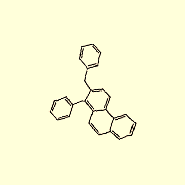 [c]1ccc(-c2c(Cc3ccccc3)ccc3c2ccc2ccccc23)cc1